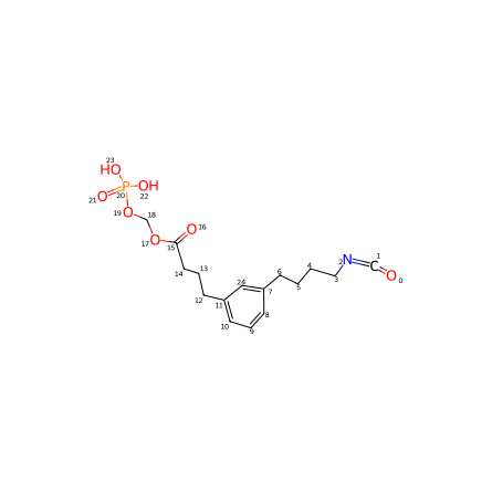 O=C=NCCCCc1cccc(CCCC(=O)OCOP(=O)(O)O)c1